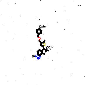 CCn1nnc2c(C)c(C(c3cc(COCc4ccc(OC)cc4)c(C)s3)C(C)(C)C(=O)O)ccc21